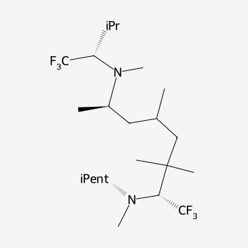 CCC[C@@H](C)N(C)[C@@H](C(F)(F)F)C(C)(C)CC(C)C[C@@H](C)N(C)[C@@H](C(C)C)C(F)(F)F